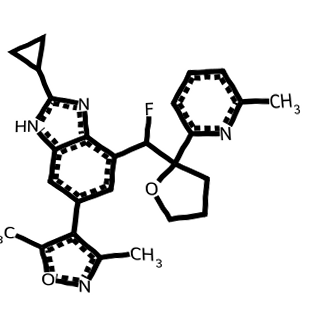 Cc1cccc(C2(C(F)c3cc(-c4c(C)noc4C)cc4[nH]c(C5CC5)nc34)CCCO2)n1